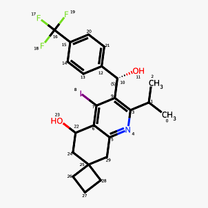 CC(C)c1nc2c(c(I)c1[C@@H](O)c1ccc(C(F)(F)F)cc1)C(O)CC1(CCC1)C2